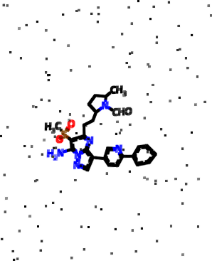 CC1CCC(CCc2nc3c(-c4ccc(-c5ccccc5)nc4)cnn3c(N)c2S(C)(=O)=O)N1C=O